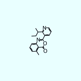 CCC(C)c1ncccc1-c1nc2cccc(C)c2c(=O)o1